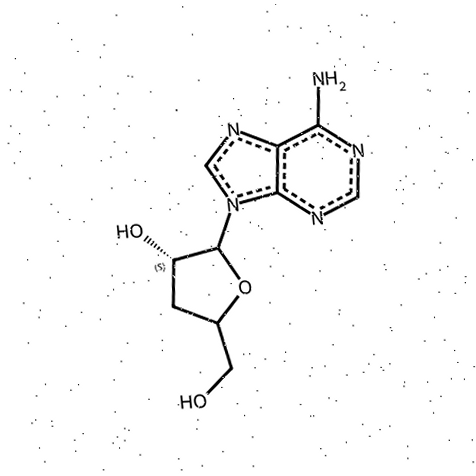 Nc1ncnc2c1ncn2C1OC(CO)C[C@@H]1O